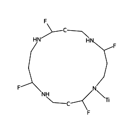 FC1CCNC(F)CC[N]([Ti])C(F)CCNC(F)CCN1